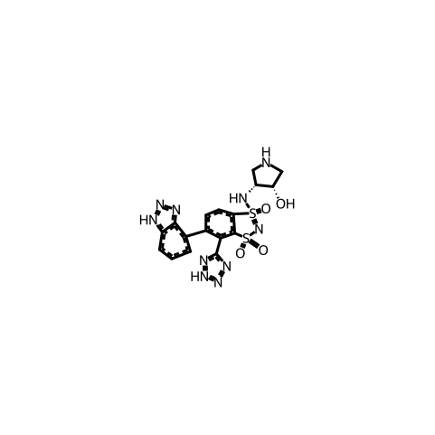 O=S1(=O)N=S(=O)(N[C@@H]2CNC[C@@H]2O)c2ccc(-c3cccc4[nH]nnc34)c(-c3nn[nH]n3)c21